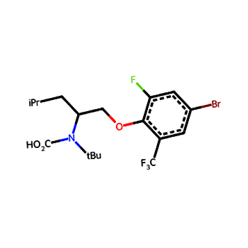 CC(C)CC(COc1c(F)cc(Br)cc1C(F)(F)F)N(C(=O)O)C(C)(C)C